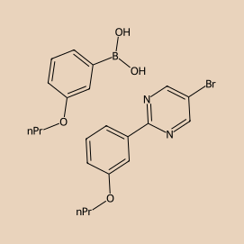 CCCOc1cccc(-c2ncc(Br)cn2)c1.CCCOc1cccc(B(O)O)c1